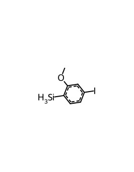 COc1cc(I)ccc1[SiH3]